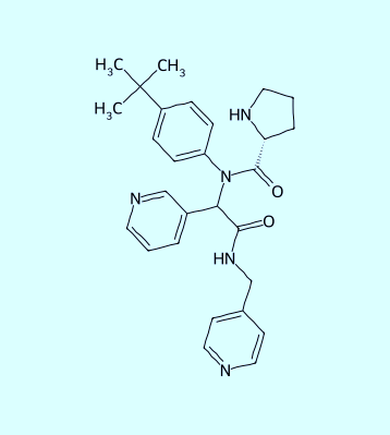 CC(C)(C)c1ccc(N(C(=O)[C@H]2CCCN2)C(C(=O)NCc2ccncc2)c2cccnc2)cc1